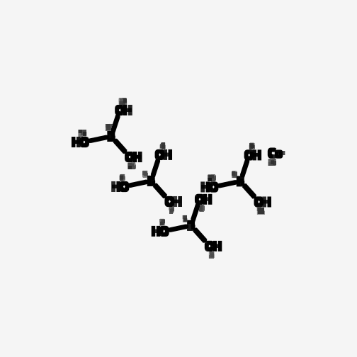 OB(O)O.OB(O)O.OB(O)O.OB(O)O.[Co]